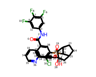 O=C(Nc1cc(F)c(F)c(F)c1)c1ccc(Cl)c(S(=O)(=O)[C@H]2C3CCC2C[C@](O)(C#Cc2ccccn2)C3)c1